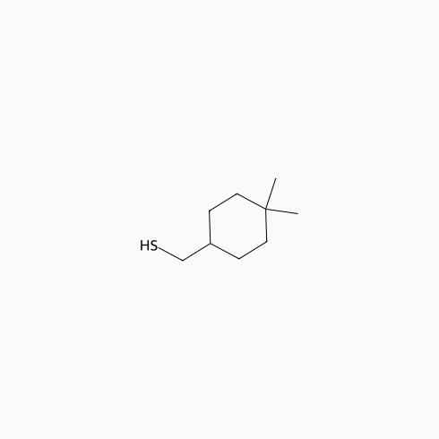 CC1(C)CCC(CS)CC1